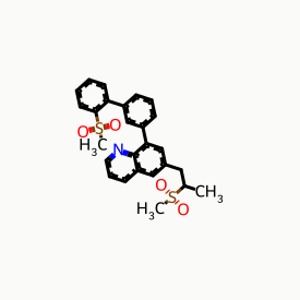 CC(Cc1cc(-c2cccc(-c3ccccc3S(C)(=O)=O)c2)c2ncccc2c1)S(C)(=O)=O